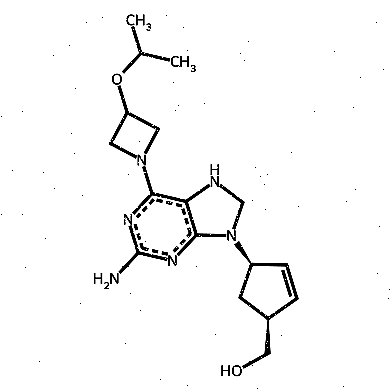 CC(C)OC1CN(c2nc(N)nc3c2NCN3[C@H]2C=C[C@@H](CO)C2)C1